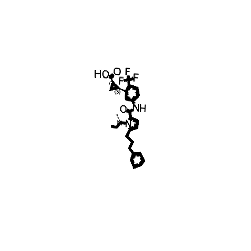 CC[C@H](C)n1c(CCCc2ccccc2)ccc1C(=O)Nc1ccc(C(F)(F)F)c([C@H]2C[C@H]2C(=O)O)c1